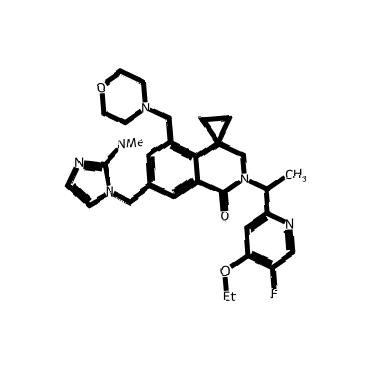 CCOc1cc(C(C)N2CC3(CC3)c3c(CN4CCOCC4)cc(Cn4ccnc4NC)cc3C2=O)ncc1F